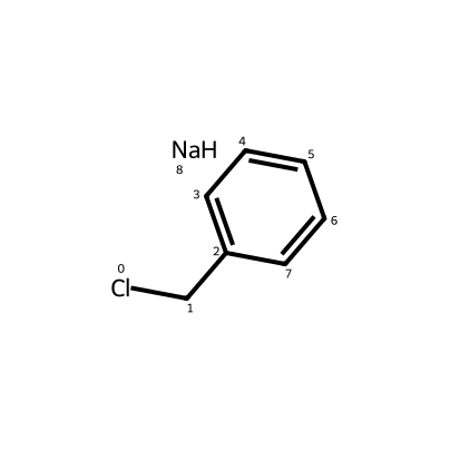 ClCc1ccccc1.[NaH]